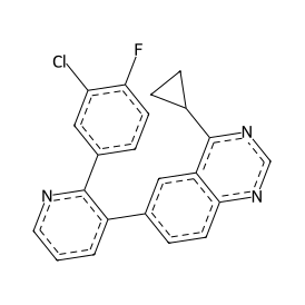 Fc1ccc(-c2ncccc2-c2ccc3ncnc(C4CC4)c3c2)cc1Cl